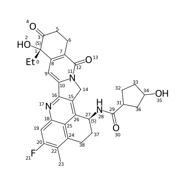 CC[C@@]1(O)C(=O)CCc2c1cc1n(c2=O)Cc2c-1nc1cc(F)c(C)c3c1c2[C@@H](NC(=O)C1CCC(O)C1)CC3